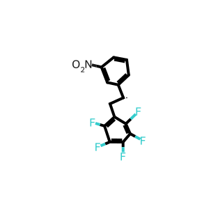 O=[N+]([O-])c1cccc([CH]Cc2c(F)c(F)c(F)c(F)c2F)c1